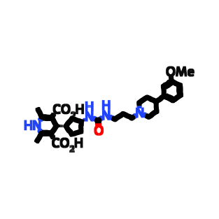 COc1cccc(C2CCN(CCCNC(=O)N[C@@H]3CC[C@H](C4C(C(=O)O)=C(C)NC(C)=C4C(=O)O)C3)CC2)c1